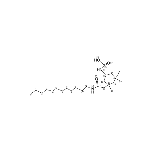 CCCCCCCCCCCCNC(=O)CC1(C)CC(NC(=O)O)CC(C)(C)C1